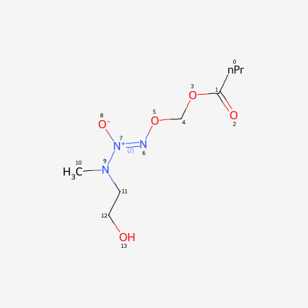 CCCC(=O)OCO/N=[N+](\[O-])N(C)CCO